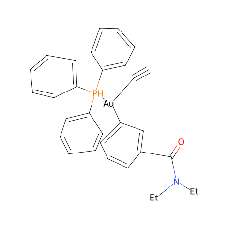 C#[C][Au]([c]1cccc(C(=O)N(CC)CC)c1)[PH](c1ccccc1)(c1ccccc1)c1ccccc1